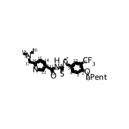 CCCCCOc1ccc(N(C)C(=S)NC(=O)c2ccc(CN(C)I)nc2)cc1C(F)(F)F